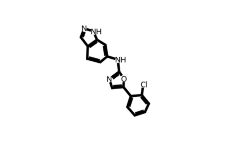 Clc1ccccc1-c1cnc(Nc2ccc3cn[nH]c3c2)o1